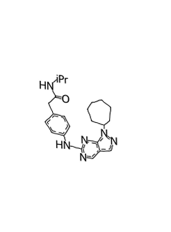 CC(C)NC(=O)Cc1ccc(Nc2ncc3cnn(C4CCCCCC4)c3n2)cc1